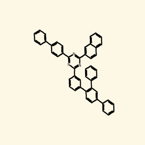 c1ccc(-c2ccc(-c3nc(-c4cccc(-c5ccc(-c6ccccc6)cc5-c5ccccc5)c4)nc(-c4ccc5ccccc5c4)n3)cc2)cc1